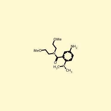 COCCN(CCOC)C(=O)c1cc(N)ccc1N(C)C